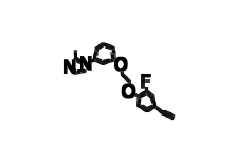 C#Cc1ccc(OCCOc2cccc(-n3ccnc3C)c2)c(F)c1